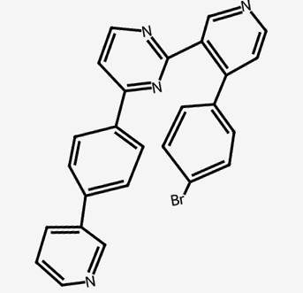 Brc1ccc(-c2ccncc2-c2nccc(-c3ccc(-c4cccnc4)cc3)n2)cc1